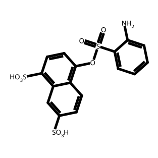 Nc1ccccc1S(=O)(=O)Oc1ccc(S(=O)(=O)O)c2cc(S(=O)(=O)O)ccc12